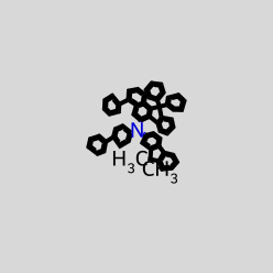 CC1(C)c2ccccc2-c2ccc(N(c3ccc(-c4ccccc4)cc3)c3cc4c(-c5ccccc5)cccc4c4c3-c3ccccc3C4(c3ccccc3)c3ccccc3)cc21